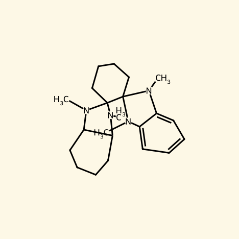 CN1c2ccccc2N(C)C12CCCCC21N(C)C2CCCCC2N1C